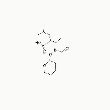 CC(C)CC(C(=O)O)C(C)N(C=O)OC1CCCCO1